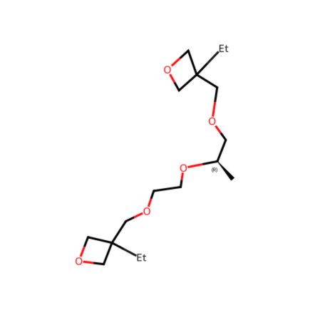 CCC1(COCCO[C@H](C)COCC2(CC)COC2)COC1